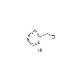 ClCc1ccccc1.I